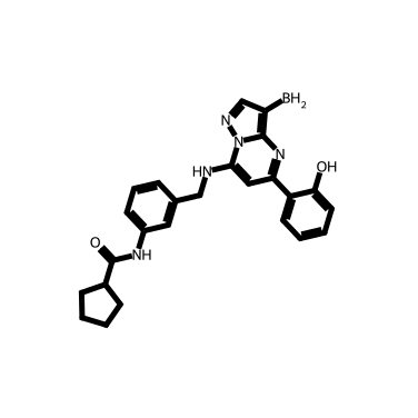 Bc1cnn2c(NCc3cccc(NC(=O)C4CCCC4)c3)cc(-c3ccccc3O)nc12